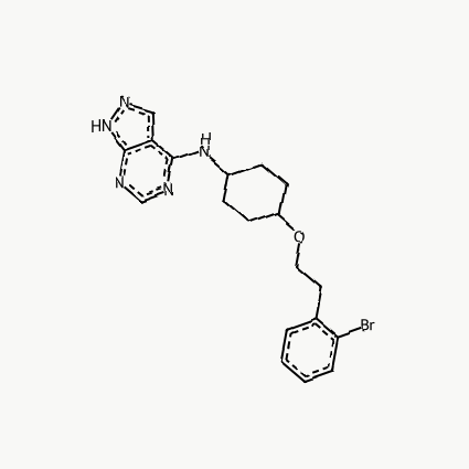 Brc1ccccc1CCOC1CCC(Nc2ncnc3[nH]ncc23)CC1